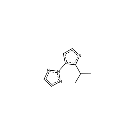 CC(C)c1sccc1-n1nccn1